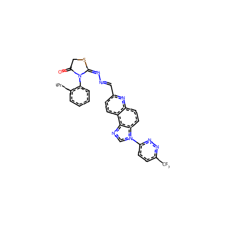 CC(C)c1ccccc1N1C(=O)CS/C1=N/N=C/c1ccc2c(ccc3c2ncn3-c2ccc(C(F)(F)F)nn2)n1